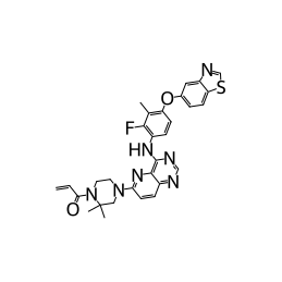 C=CC(=O)N1CCN(c2ccc3ncnc(Nc4ccc(Oc5ccc6scnc6c5)c(C)c4F)c3n2)CC1(C)C